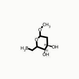 BCC1OC(OC)C[C@@H](O)[C@@H]1O